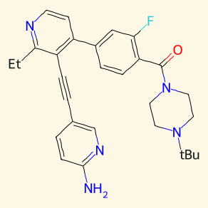 CCc1nccc(-c2ccc(C(=O)N3CCN(C(C)(C)C)CC3)c(F)c2)c1C#Cc1ccc(N)nc1